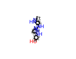 CCc1n[nH]c2cc(Nc3nc4cccc(N[C@H]5CC[C@@H](O)CC5)n4n3)ccc12